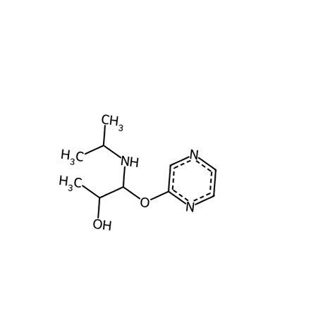 CC(C)NC(Oc1cnccn1)C(C)O